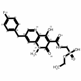 CCOP(=O)(O)CNC(=O)c1c(O)c2ncc(Cc3ccc(F)cc3)cc2n(C)c1=O